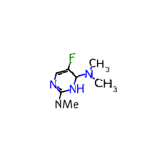 CNC1=NC=C(F)C(N(C)C)N1